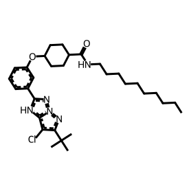 CCCCCCCCCCNC(=O)C1CCC(Oc2cccc(-c3nn4nc(C(C)(C)C)c(Cl)c4[nH]3)c2)CC1